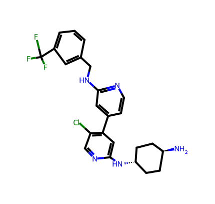 N[C@H]1CC[C@H](Nc2cc(-c3ccnc(NCc4cccc(C(F)(F)F)c4)c3)c(Cl)cn2)CC1